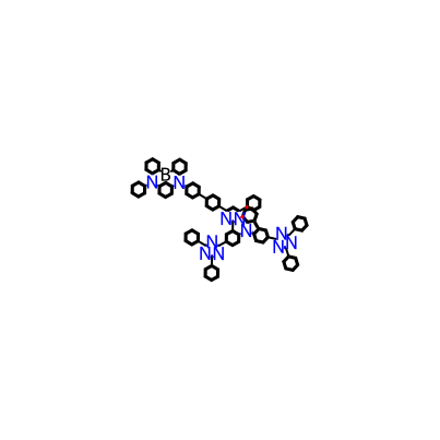 c1ccc(-c2cc(-c3ccc(-c4ccc(N5c6ccccc6B6c7ccccc7N(c7ccccc7)c7cccc5c76)cc4)cc3)nc(-c3cc(-c4nc(-c5ccccc5)nc(-c5ccccc5)n4)ccc3-n3c4ccccc4c4cc(-c5nc(-c6ccccc6)nc(-c6ccccc6)n5)ccc43)n2)cc1